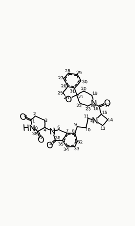 O=C1CCC(N2Cc3c(CCCN4CCC4C(=O)N4CCC5(CC4)OCc4ccccc45)cccc3C2=O)C(=O)N1